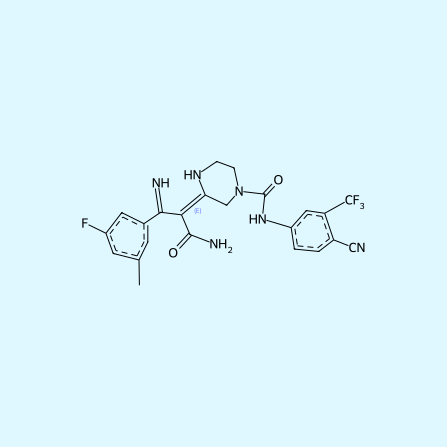 Cc1cc(F)cc(C(=N)/C(C(N)=O)=C2/CN(C(=O)Nc3ccc(C#N)c(C(F)(F)F)c3)CCN2)c1